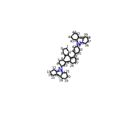 c1ccc2c(c1)c1ccc(-n3c4ccccc4c4ccccc43)cc1c1cccc(-c3ccc(-n4c5ccccc5c5ccccc54)cc3)c21